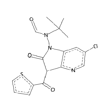 CC(C)(C)N(C=O)N1C(=O)C(C(=O)c2cccs2)c2ncc(Cl)cc21